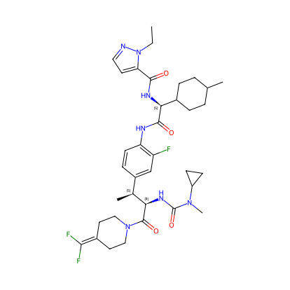 CCn1nccc1C(=O)N[C@H](C(=O)Nc1ccc([C@H](C)[C@@H](NC(=O)N(C)C2CC2)C(=O)N2CCC(=C(F)F)CC2)cc1F)C1CCC(C)CC1